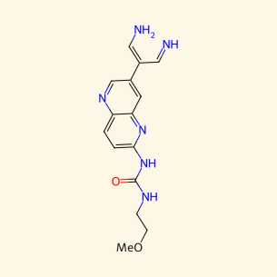 COCCNC(=O)Nc1ccc2ncc(/C(C=N)=C/N)cc2n1